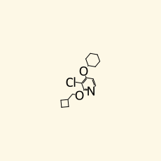 Clc1c(OC2CCCCC2)ccnc1OCC1CCC1